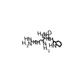 N=C(N)NCCC[C@H](N)C(=O)N[C@@H](Cc1c[nH]c2ccccc12)C(N)=O